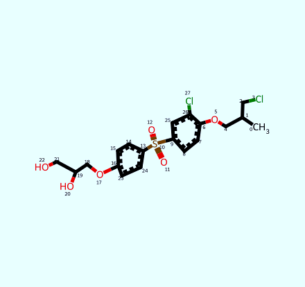 CC(CCl)COc1ccc(S(=O)(=O)c2ccc(OCC(O)CO)cc2)cc1Cl